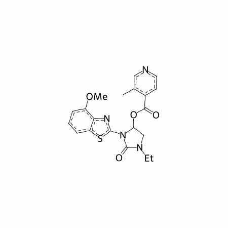 CCN1CC(OC(=O)c2ccncc2C)N(c2nc3c(OC)cccc3s2)C1=O